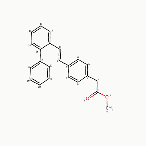 COC(=O)Cc1ccc(/C=C/c2ccccc2-c2ccccc2)cc1